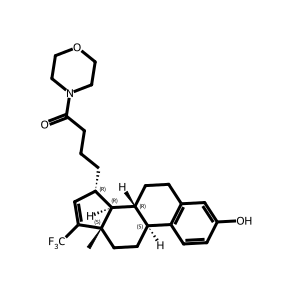 C[C@]12CC[C@@H]3c4ccc(O)cc4CC[C@H]3[C@@H]1[C@@H](CCCC(=O)N1CCOCC1)C=C2C(F)(F)F